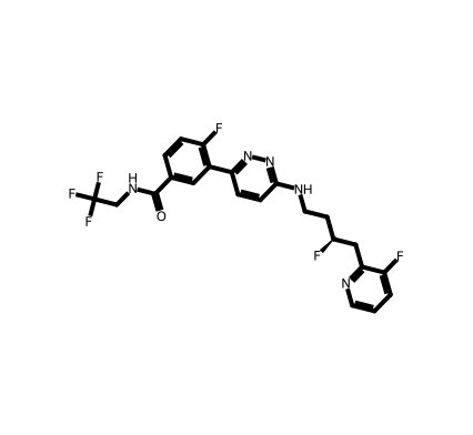 O=C(NCC(F)(F)F)c1ccc(F)c(-c2ccc(NCC[C@H](F)Cc3ncccc3F)nn2)c1